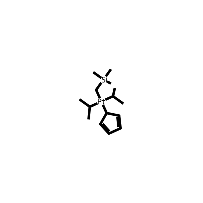 C[CH](C)[Pt]([CH2][Si](C)(C)C)([CH](C)C)[CH]1C=CC=C1